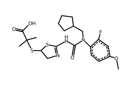 COc1ccc(N(CC2CCCC2)C(=O)NC2=NCC(SC(C)(C)C(=O)O)S2)c(F)c1